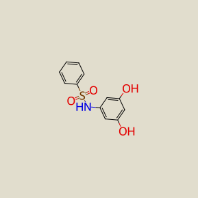 O=S(=O)(Nc1cc(O)cc(O)c1)c1ccccc1